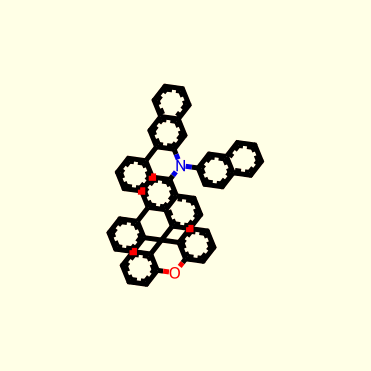 c1ccc(-c2cc3ccccc3cc2N(c2ccc3ccccc3c2)c2ccc3c4c(cccc24)C2(c4ccccc4Oc4ccccc42)c2ccccc2-3)cc1